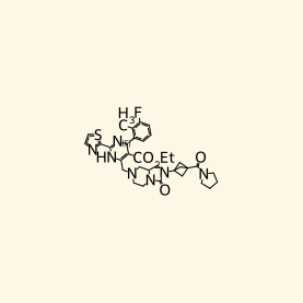 CCOC(=O)C1=C(CN2CCN3C(=O)N(C45CC(C(=O)N6CCCC6)(C4)C5)CC3C2)NC(c2nccs2)=N[C@H]1c1cccc(F)c1C